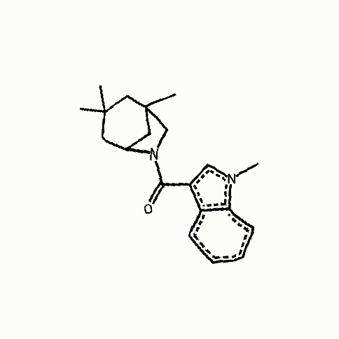 Cn1cc(C(=O)N2CC3(C)CC2CC(C)(C)C3)c2ccccc21